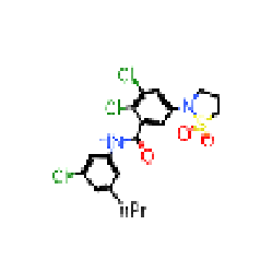 CCCc1cc(Cl)cc(NC(=O)c2cc(N3CCCS3(=O)=O)cc(Cl)c2Cl)c1